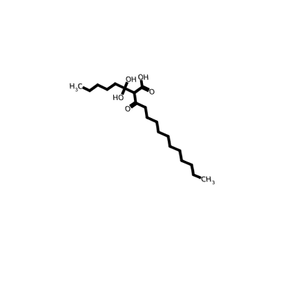 CCCCCCCCCCCC(=O)C(C(=O)O)C(O)(O)CCCCC